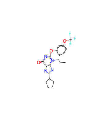 CCCn1c(Oc2cccc(OC(F)(F)F)c2)nc(=O)c2c1N=C(C1CCCC1)[N]2